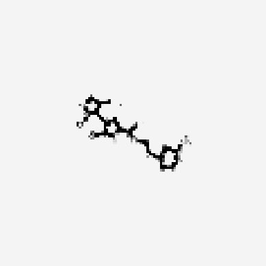 Cc1cnn(C)c1-c1cc(C(=O)NCCc2cccc(C(F)(F)F)c2)sc1Cl